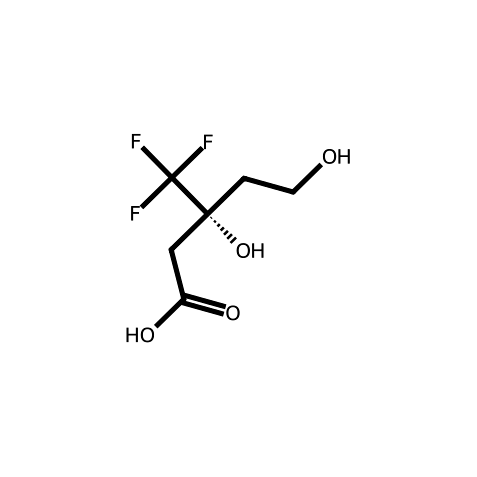 O=C(O)C[C@](O)(CCO)C(F)(F)F